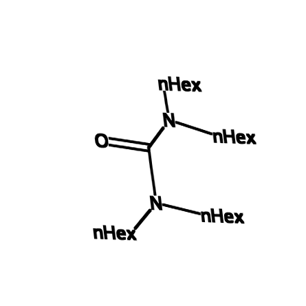 CCCCCCN(CCCCCC)C(=O)N(CCCCCC)CCCCCC